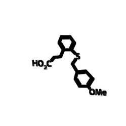 COc1ccc(CSc2ccccc2CCC(=O)O)cc1